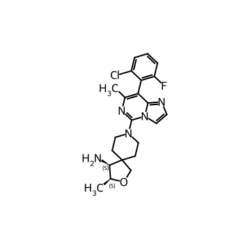 Cc1nc(N2CCC3(CC2)CO[C@@H](C)[C@H]3N)n2ccnc2c1-c1c(F)cccc1Cl